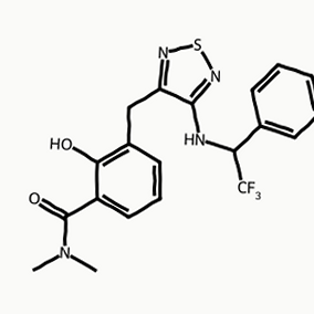 CN(C)C(=O)c1cccc(Cc2nsnc2NC(c2ccccc2)C(F)(F)F)c1O